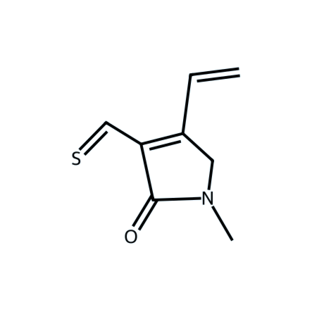 C=CC1=C(C=S)C(=O)N(C)C1